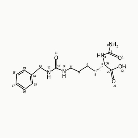 NC(=O)N[C@@H](CCCCNC(=O)NCc1ccccc1)C(=O)O